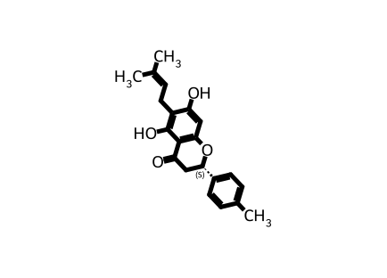 CC(C)=CCc1c(O)cc2c(c1O)C(=O)C[C@@H](c1ccc(C)cc1)O2